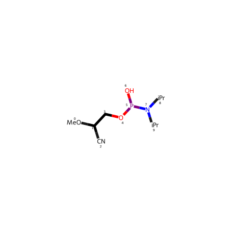 COC(C#N)COP(O)N(C(C)C)C(C)C